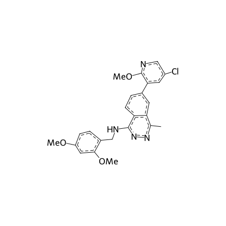 COc1ccc(CNc2nnc(C)c3cc(-c4cc(Cl)cnc4OC)ccc23)c(OC)c1